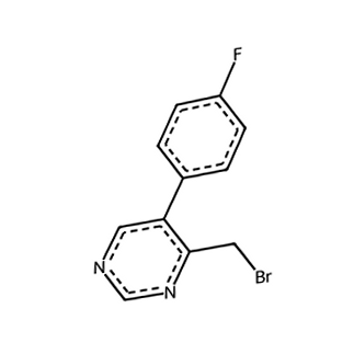 Fc1ccc(-c2cncnc2CBr)cc1